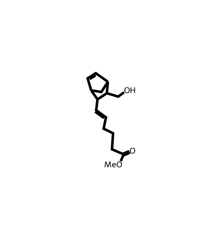 COC(=O)CCC/C=C/C1C2C=CC(C2)C1CO